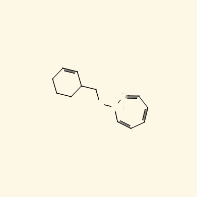 C1=CC=N[SiH](OCC2C=CCCC2)C=C1